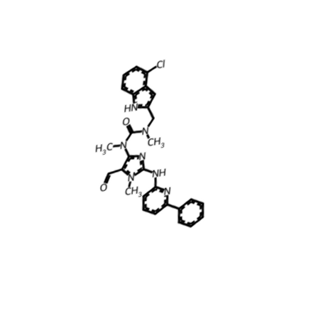 CN(Cc1cc2c(Cl)cccc2[nH]1)C(=O)N(C)c1nc(Nc2cccc(-c3ccccc3)n2)n(C)c1C=O